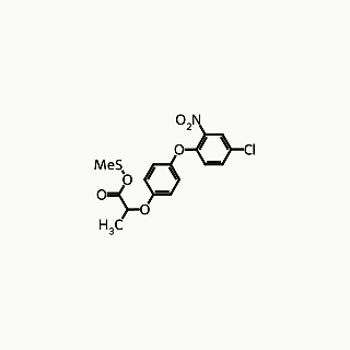 CSOC(=O)C(C)Oc1ccc(Oc2ccc(Cl)cc2[N+](=O)[O-])cc1